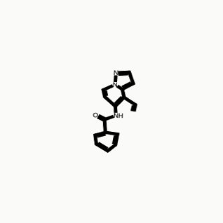 C=Cc1c(NC(=O)c2ccccc2)ccn2nccc12